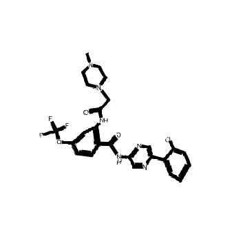 CN1CCN(CC(=O)Nc2cc(OC(F)(F)F)ccc2C(=O)Nc2cnc(-c3ccccc3Cl)cn2)CC1